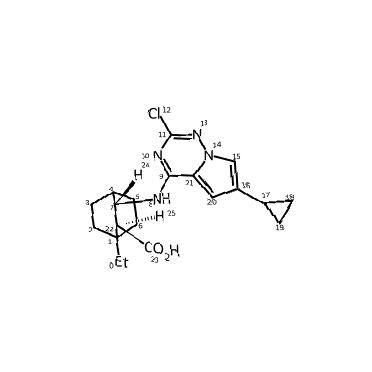 CCC12CCC(CC1)[C@H](Nc1nc(Cl)nn3cc(C4CC4)cc13)[C@H]2C(=O)O